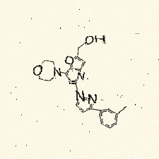 Cc1cccc(-c2ccn(-c3cc(N4CCOCC4)c4oc(CO)cc4n3)n2)c1